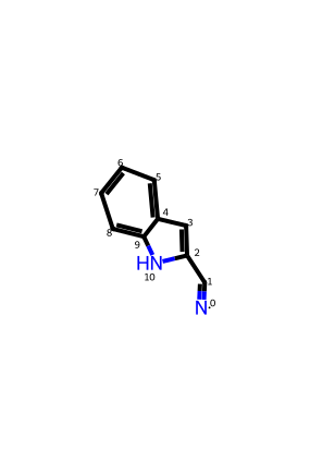 [N]=Cc1cc2ccccc2[nH]1